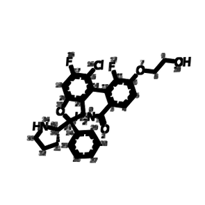 NC(=O)c1ccc(OCCO)c(F)c1-c1c(Cl)c(F)cc2c1C[C@](c1ccccc1)([C@@H]1CCCN1)O2